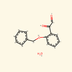 O.O=CC(=O)c1ccccc1OCc1ccccc1